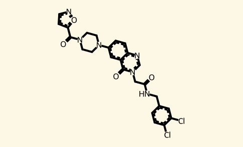 O=C(Cn1cnc2ccc(N3CCN(C(=O)c4ccno4)CC3)cc2c1=O)NCc1ccc(Cl)c(Cl)c1